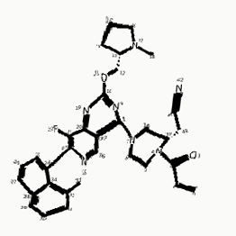 C=CC(=O)N1CCN(c2nc(OC[C@@H]3CCCN3C)nc3c(F)c(-c4cccc5cccc(C)c45)ncc23)C[C@@H]1CC#N